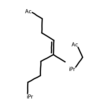 CC(=O)CC(C)C.CC(=O)CCC=C(C)CCCC(C)C